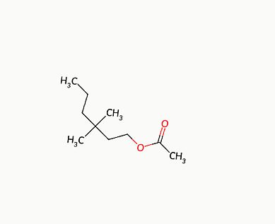 CCCC(C)(C)CCOC(C)=O